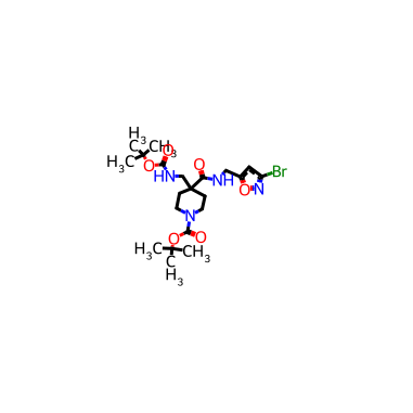 CC(C)(C)OC(=O)NCC1(C(=O)NCc2cc(Br)no2)CCN(C(=O)OC(C)(C)C)CC1